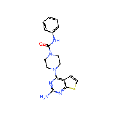 Nc1nc(N2CCN(C(=O)Nc3ccccc3)CC2)c2ccsc2n1